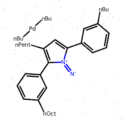 CCCCCCCCc1cccc(C2=C(CCCCC)C=C(c3cccc(CCCC)c3)[N+]2=[N-])c1.CCC[CH2][Pd][CH2]CCC